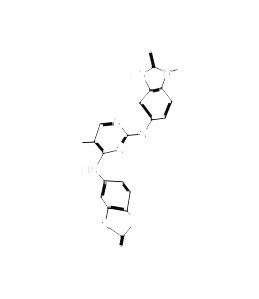 Cc1cnc(Nc2ccc3c(c2)[nH]c(=O)n3C)nc1Nc1ccc2oc(=O)[nH]c2c1